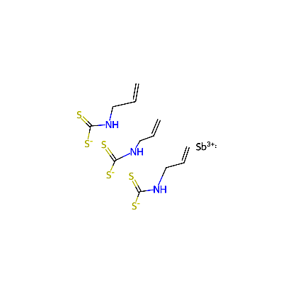 C=CCNC(=S)[S-].C=CCNC(=S)[S-].C=CCNC(=S)[S-].[Sb+3]